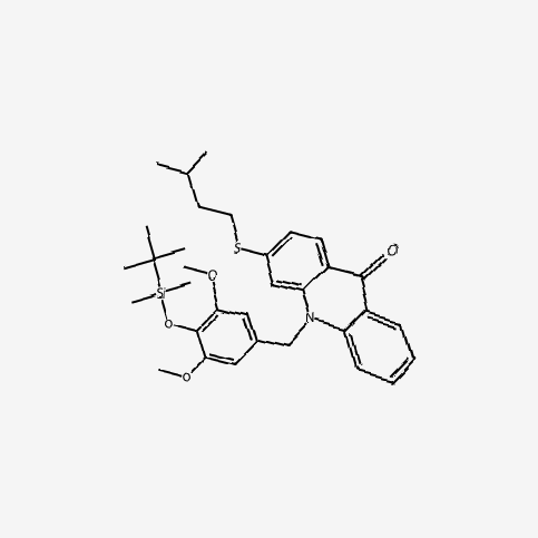 COc1cc(Cn2c3ccccc3c(=O)c3ccc(SCCC(C)C)cc32)cc(OC)c1O[Si](C)(C)C(C)(C)C